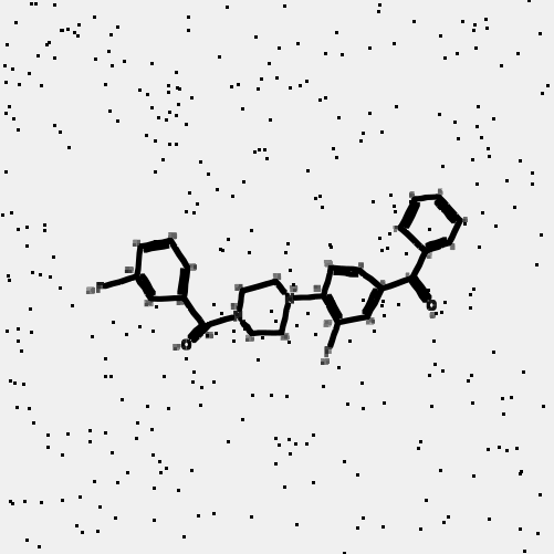 O=C(c1ccccc1)c1ccc(N2CCN(C(=O)c3cccc(F)c3)CC2)c(F)c1